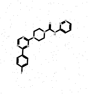 O=C(Nc1cccnn1)N1CCN(c2ncnc(-c3ccc(F)cc3)n2)CC1